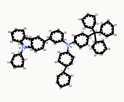 c1ccc(-c2ccc(N(c3ccc(C(c4ccccc4)(c4ccccc4)c4ccccc4)cc3)c3cccc(-c4ccc5c(c4)c4ccccc4n5-c4ccccc4)c3)cc2)cc1